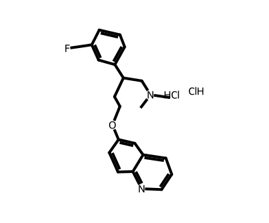 CN(C)CC(CCOc1ccc2ncccc2c1)c1cccc(F)c1.Cl.Cl